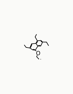 [CH2]COc1cc(CC)cc2c(CC)cc(CC)cc12